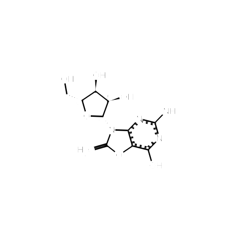 C=C1Oc2c(O)nc(N)nc2N1[C@@H]1O[C@H](CO)[C@@H](O)[C@H]1O